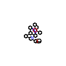 c1ccc(-c2ccc(-c3ccccc3-c3cc(-c4ccccc4-c4ccc(-c5ccc6c(c5)C5CC7CC(CC6C7)C5)nc4)cc(-c4ccccc4-c4cnc5c(ccc6ccccc65)c4)c3)cn2)cc1